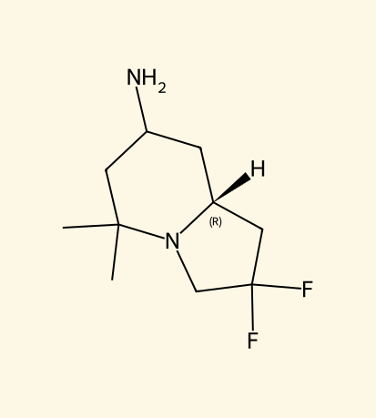 CC1(C)CC(N)C[C@@H]2CC(F)(F)CN21